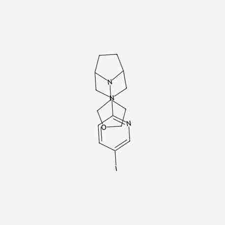 Ic1ccc(N2CC3CCC(C2)N3C2CCOC2)nc1